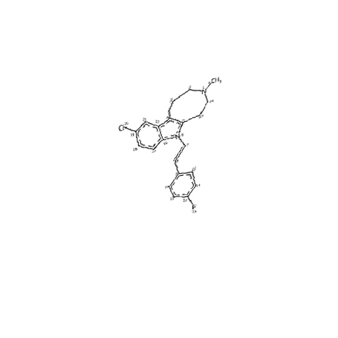 CN1CCc2c(n(C=Cc3ccc(F)cc3)c3ccc(Cl)cc23)CC1